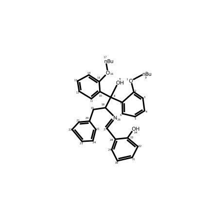 CCCCOc1ccccc1C(O)(c1ccccc1OCCCC)C(Cc1ccccc1)N=Cc1ccccc1O